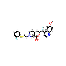 COc1ccc2nccc(C(F)CC[C@@H]3CCN(CCSc4ccccc4F)C[C@@H]3C(=O)O)c2c1